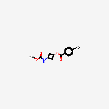 CC(C)(C)OC(=O)N[C@H]1C[C@H](OC(=O)c2ccc(N=O)cc2)C1